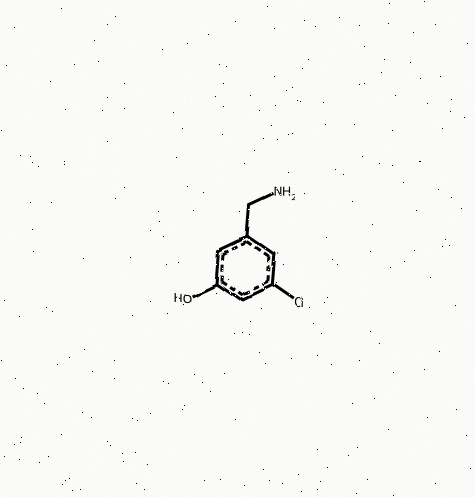 NCc1[c]c(Cl)cc(O)c1